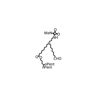 CCCCCC(CCCCC)CCCOC(=O)CCCCCCCN(CCCCCCCC=O)CCCNc1c(NC)c(=O)c1=O